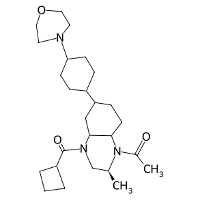 CC(=O)N1C2CCC(C3CCC(N4CCOCC4)CC3)CC2N(C(=O)C2CCC2)C[C@@H]1C